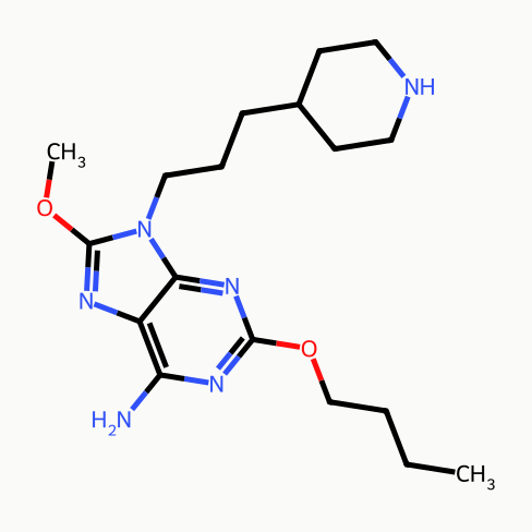 CCCCOc1nc(N)c2nc(OC)n(CCCC3CCNCC3)c2n1